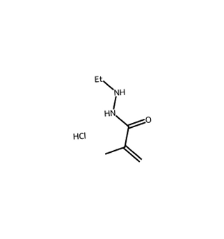 C=C(C)C(=O)NNCC.Cl